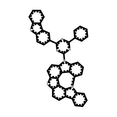 c1ccc(-c2nc(-c3ccc4sc5ccccc5c4c3)nc(-n3c4ccc5sc6ccc7c8ccccc8n8c9cccc3c9c4c5c6c78)n2)cc1